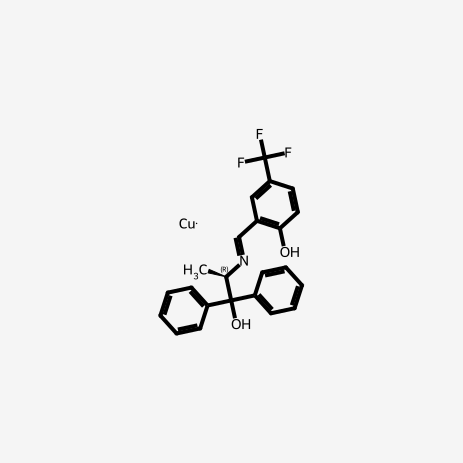 C[C@@H](N=Cc1cc(C(F)(F)F)ccc1O)C(O)(c1ccccc1)c1ccccc1.[Cu]